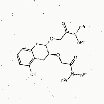 CCCN(CCC)C(=O)CO[C@H]1Cc2cccc(O)c2C[C@@H]1OCC(=O)N(CCC)CCC